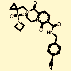 N#Cc1ccc(CNC(=O)c2ccc3n(c2=O)CCN(CC2(S(=O)(=O)N4CCC4)CC2)C3=O)cc1